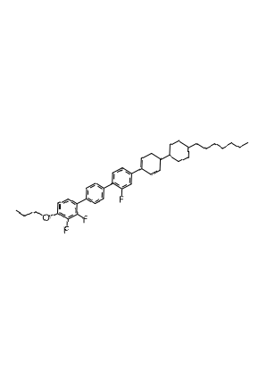 CCCCCCCC1CCC(C2CCC(c3ccc(-c4ccc(-c5ccc(OCCC)c(F)c5F)cc4)c(F)c3)CC2)CC1